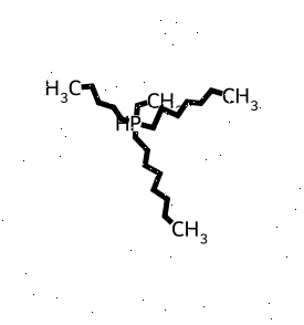 CCCCCCCC[PH](CC)(CCCCC)CCCCCCC